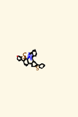 c1ccc2c(c1)cn1c2c2cc3c(cc2c2ccc4c5ccccc5sc4c21)sc1ccccc13